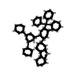 c1ccc(-c2cc(-c3ccccc3)nc(-c3cc4c(cc3-c3ccc5c(c3)oc3ccccc35)-c3ccccc3C4(c3ccccc3)c3ccccc3)c2)cc1